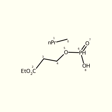 CCCC.CCOC(=O)CCO[PH](=O)O